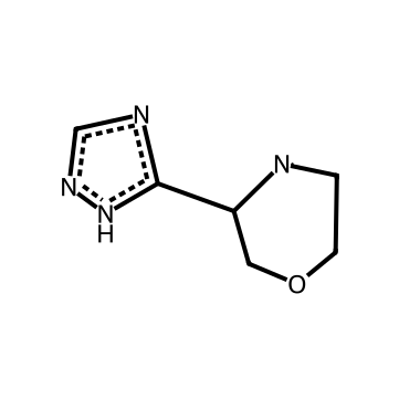 c1n[nH]c(C2COCC[N]2)n1